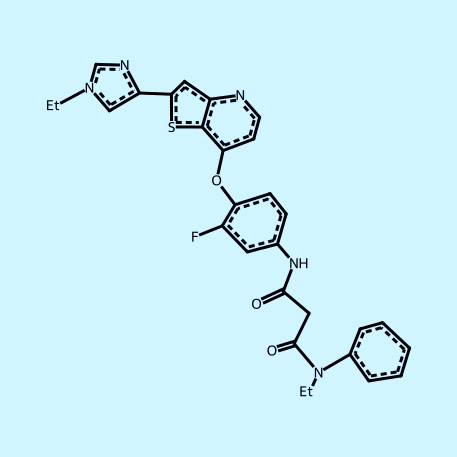 CCN(C(=O)CC(=O)Nc1ccc(Oc2ccnc3cc(-c4cn(CC)cn4)sc23)c(F)c1)c1ccccc1